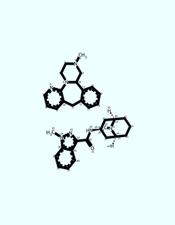 CN1CCN2c3ncccc3Cc3ccccc3C2C1.CN1[C@@H]2CCC[C@H]1C[C@@H](NC(=O)c1nn(C)c3ccccc13)C2